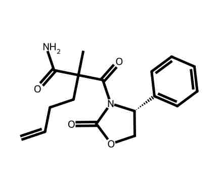 C=CCCC(C)(C(N)=O)C(=O)N1C(=O)OC[C@H]1c1ccccc1